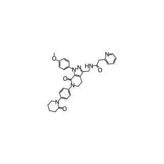 COc1ccc(-n2nc(CNC(=O)Cc3ccccn3)c3c2C(=O)N(c2ccc(N4CCCCC4=O)cc2)CC3)cc1